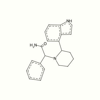 NC(=O)C(c1ccccc1)N1CCCCC1c1cccc2[nH]ccc12